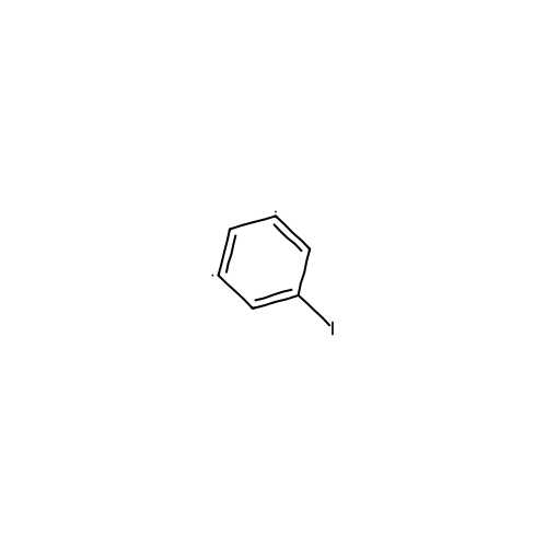 Ic1c[c]c[c]c1